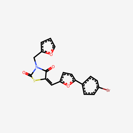 O=C1S/C(=C/c2ccc(-c3ccc(Br)cc3)o2)C(=O)N1Cc1ccco1